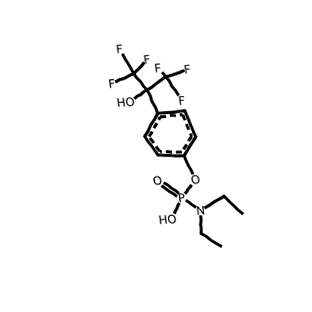 CCN(CC)P(=O)(O)Oc1ccc(C(O)(C(F)(F)F)C(F)(F)F)cc1